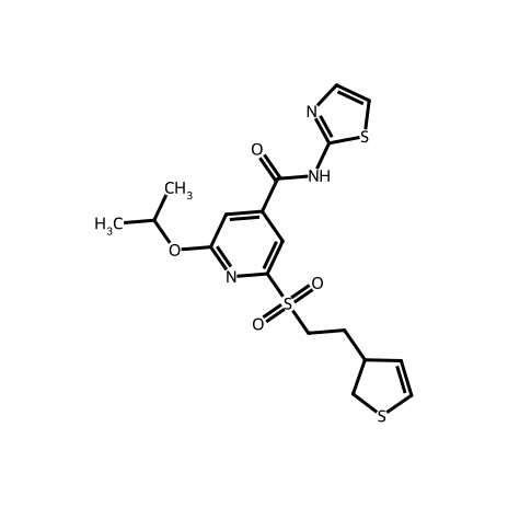 CC(C)Oc1cc(C(=O)Nc2nccs2)cc(S(=O)(=O)CCC2C=CSC2)n1